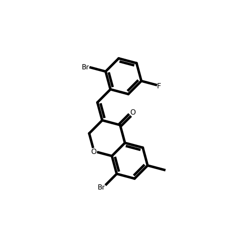 Cc1cc(Br)c2c(c1)C(=O)C(=Cc1cc(F)ccc1Br)CO2